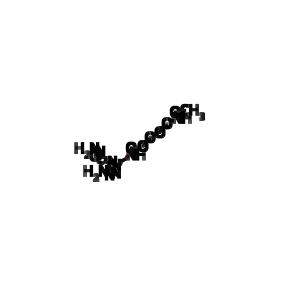 CCC(=O)NCCOCCOCCOCCOCCC(=O)NCCCCn1nc(-c2ccc3oc(N)nc3c2)c2c(N)ncnc21